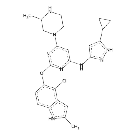 Cc1cc2c(Cl)c(Oc3nc(Nc4cc(C5CC5)[nH]n4)cc(N4CCNC(C)C4)n3)ccc2[nH]1